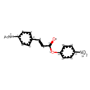 CC(=O)Nc1ccc(/C=C/C(=O)Oc2ccc([N+](=O)[O-])cc2)cc1